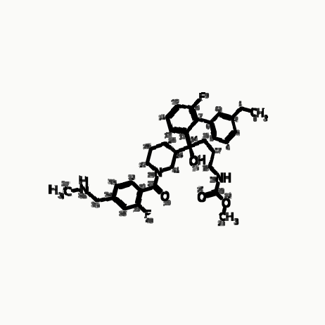 CCc1cccc(-c2c(F)cccc2[C@](O)(CCCNC(=O)OC)[C@@H]2CCCN(C(=O)c3ccc(CNC)cc3F)C2)c1